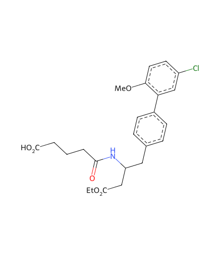 CCOC(=O)CC(Cc1ccc(-c2cc(Cl)ccc2OC)cc1)NC(=O)CCCC(=O)O